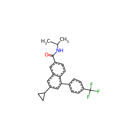 CC(C)NC(=O)c1ccc2c(-c3ccc(C(F)(F)F)cc3)cc(C3CC3)cc2c1